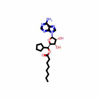 CCCCCCCC(=O)OC(C1CCCC1)[C@H]1O[C@@H](n2cnc3c(N)ncnc32)[C@H](O)[C@@H]1O